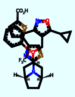 O=C(O)c1ccc(-c2csc(N3[C@@H]4CC[C@H]3C[C@@H](OCc3c(-c5ccccc5OC(F)(F)F)noc3C3CC3)C4)n2)s1